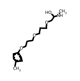 CNC(O)COCCCOCCCOc1ccc(C)cc1